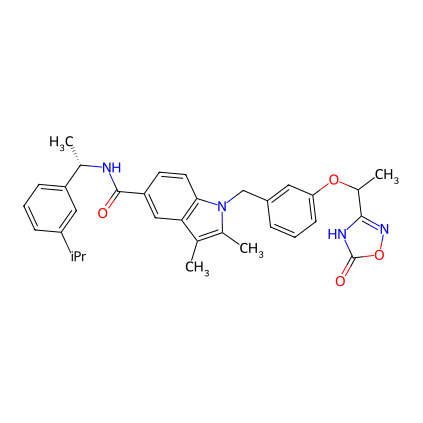 Cc1c(C)n(Cc2cccc(OC(C)c3noc(=O)[nH]3)c2)c2ccc(C(=O)N[C@@H](C)c3cccc(C(C)C)c3)cc12